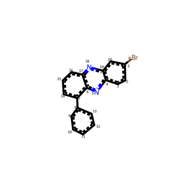 Brc1ccc2nc3c(-c4ccccc4)cc[c]c3nc2c1